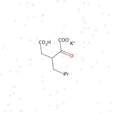 CC(C)CC(CC(=O)O)C(=O)C(=O)[O-].[K+]